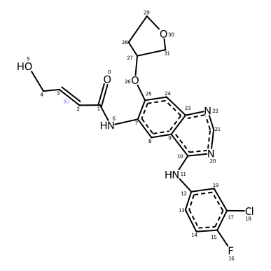 O=C(/C=C/CO)Nc1cc2c(Nc3ccc(F)c(Cl)c3)ncnc2cc1OC1CCOC1